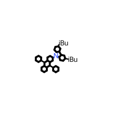 CCC(C)c1ccc2c(c1)c1cc(C(C)CC)ccc1n2-c1ccc2c(-c3ccccc3)c3ccccc3c(-c3ccccc3)c2c1